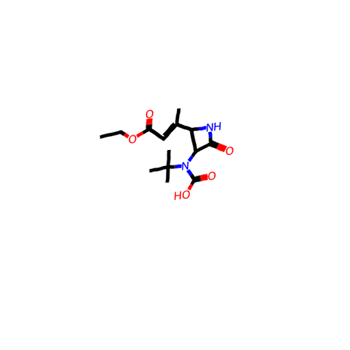 CCOC(=O)C=C(C)C1NC(=O)C1N(C(=O)O)C(C)(C)C